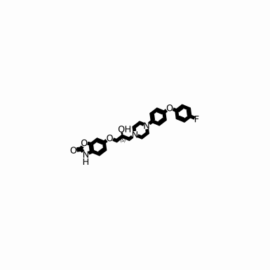 O=c1[nH]c2ccc(OC[C@@H](O)CN3CCN(c4ccc(Oc5ccc(F)cc5)cc4)CC3)cc2o1